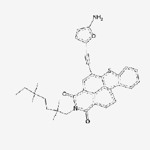 CCC(C)(C)CCC(C)(C)Cn1c(=O)c2ccc3c4ccccc4sc4c(C#Cc5ccc(N)o5)cc(c1=O)c2c43